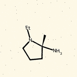 CCN1CCC[C@@]1(C)N